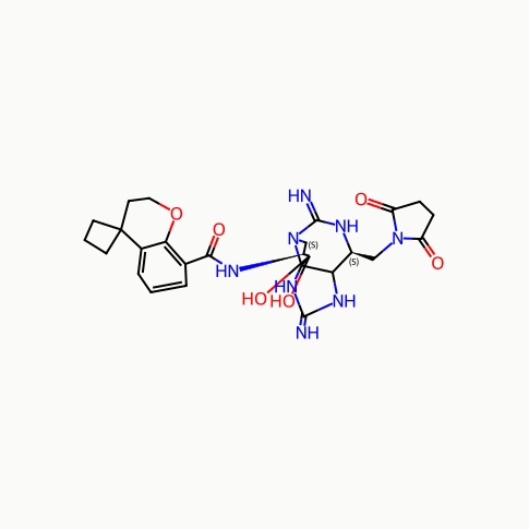 N=C1NC2[C@H](CN3C(=O)CCC3=O)NC(=N)N3C[C@H](NC(=O)c4cccc5c4OCCC54CCC4)C(O)(O)C23N1